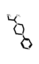 CC(CN)N1CCN(c2ccncc2)CC1